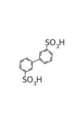 O=S(=O)(O)c1cccc(-c2cccc(S(=O)(=O)O)c2)c1